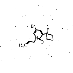 C=CCn1cc(Br)cc(C2(F)COC2)c1=O